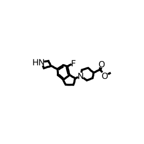 COC(=O)C1CCN(C2CCc3cc(C4CNC4)cc(F)c32)CC1